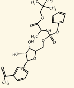 CC(=O)c1ccc[n+]([C@@H]2OC(COP(=O)(NC(C)C(=O)OCC(C)(C)C)Oc3ccccc3)[C@@H](O)[C@H]2O)c1